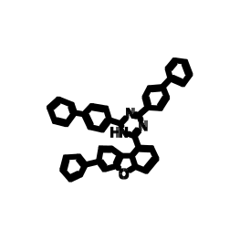 C1=CC2Oc3cc(-c4ccccc4)ccc3C2C(C2=NC(c3ccc(-c4ccccc4)cc3)=NC(c3ccc(-c4ccccc4)cc3)N2)=C1